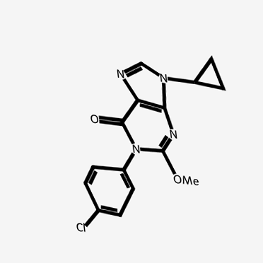 COc1nc2c(ncn2C2CC2)c(=O)n1-c1ccc(Cl)cc1